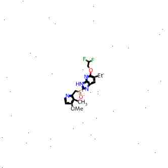 CCc1cc2nc([S+]([O-])Cc3nccc(OC)c3C)[nH]c2nc1OCC(F)F